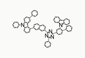 c1ccc(-c2ccc3c(c2)c2c(-c4ccc5ccc(-c6nc(-c7ccccc7)nc(-c7ccc(-c8ccccc8)c(-n8c9ccccc9c9ccccc98)c7)n6)cc5c4)cccc2n3-c2ccccc2)cc1